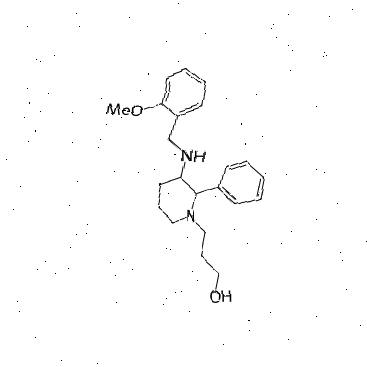 COc1ccccc1CNC1CCCN(CCCO)C1c1ccccc1